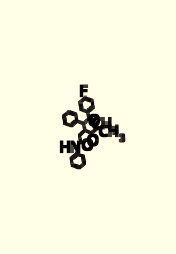 CC(C)C(=O)C(CC(=O)Nc1ccccc1)C(C(=O)c1ccc(F)cc1)c1ccccc1